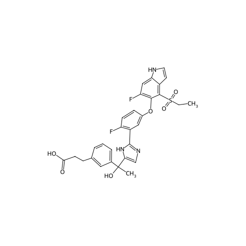 CCS(=O)(=O)c1c(Oc2ccc(F)c(-c3ncc(C(C)(O)c4cccc(CCC(=O)O)c4)[nH]3)c2)c(F)cc2[nH]ccc12